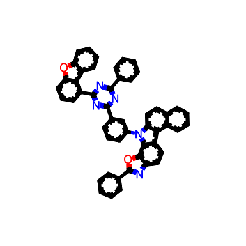 c1ccc(-c2nc(-c3cccc(-n4c5ccc6ccccc6c5c5ccc6nc(-c7ccccc7)oc6c54)c3)nc(-c3cccc4oc5ccccc5c34)n2)cc1